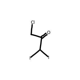 O=C(CCl)C(I)I